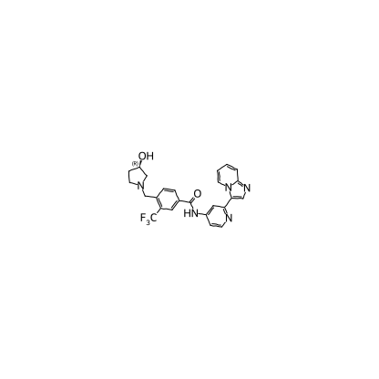 O=C(Nc1ccnc(-c2cnc3ccccn23)c1)c1ccc(CN2CC[C@@H](O)C2)c(C(F)(F)F)c1